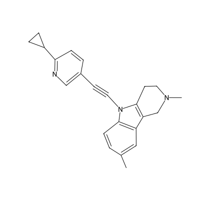 Cc1ccc2c(c1)c1c(n2C#Cc2ccc(C3CC3)nc2)CCN(C)C1